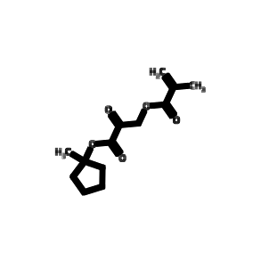 C=C(C)C(=O)OCC(=O)C(=O)OC1(C)CCCC1